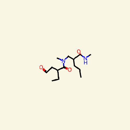 CCCC(CN(C)C(=O)C(CC)CC=O)C(=O)NC